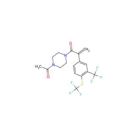 C=C(C(=O)N1CCN(C(C)=O)CC1)c1ccc(SC(F)(F)F)c(C(F)(F)F)c1